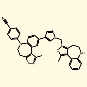 Cc1noc2c1-c1cc(-c3cnn(C[n+]4oc(C)c5c4CCNc4ccccc4-5)c3)ccc1N(c1ccc(C#N)cc1)CC2